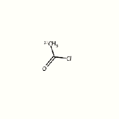 [13CH3]C(=O)Cl